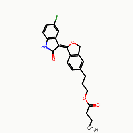 O=C(O)CCC(=O)OCCCc1ccc2c(c1)CO/C2=C1/C(=O)Nc2ccc(F)cc21